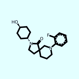 O=C1N([C@H]2CC[C@H](O)CC2)CCC12CCCN(c1cc[c]cc1F)C2